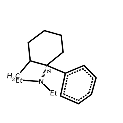 CCN(CC)[C@@]1(c2ccccc2)CCCCC1C